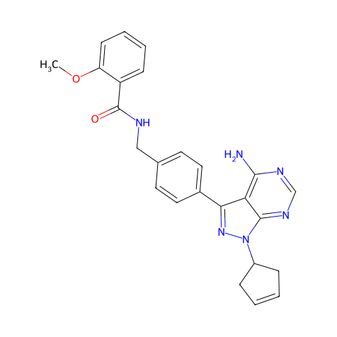 COc1ccccc1C(=O)NCc1ccc(-c2nn(C3CC=CC3)c3ncnc(N)c23)cc1